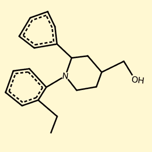 CCc1ccccc1N1CCC(CO)CC1c1ccccc1